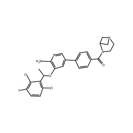 CC(Oc1cc(-c2ccc(C(=O)N3CCN4CC3C4)cc2)cnc1N)c1c(Cl)ccc(F)c1Cl